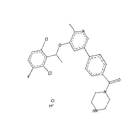 Cc1ncc(-c2ccc(C(=O)N3CCNCC3)cc2)cc1OC(C)c1c(Cl)ccc(F)c1Cl.[Cl-].[H+]